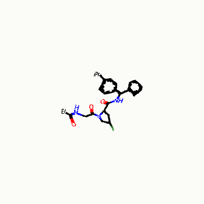 CCC(=O)NCC(=O)N1CC(F)CC1C(=O)NC(c1ccccc1)c1ccc(C(C)C)cc1